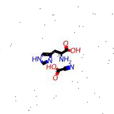 N#CC(=O)O.N[C@@H](Cc1c[nH]cn1)C(=O)O